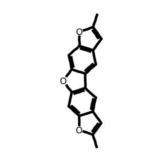 Cc1cc2cc3c(cc2o1)oc1cc2oc(C)cc2cc13